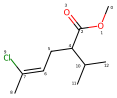 COC(=O)C(CC=C(C)Cl)C(C)C